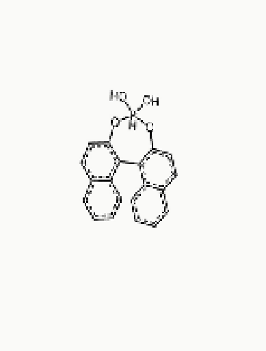 O[PH]1(O)Oc2ccc3ccccc3c2-c2c(ccc3ccccc23)O1